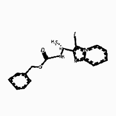 C[C@@H](NC(=O)OCc1ccccc1)c1nc2ccccn2c1I